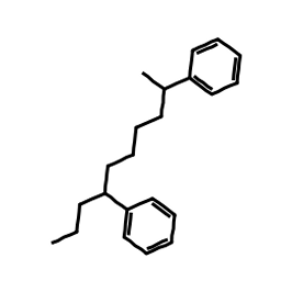 CCCC(CCCCC(C)c1ccccc1)c1ccccc1